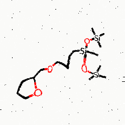 C[Si](C)(C)O[Si](C)(CCCOCC1CCCO1)O[Si](C)(C)C